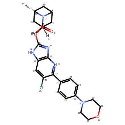 CC(C)C(=O)N1C2C[C@@H](Oc3nc4nc(-c5ccc(N6CCOCC6)cc5)c(Cl)cc4[nH]3)C[C@H]1C2